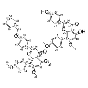 COc1ccc(-c2c(OC)cc(O)c3c(=O)cc(-c4ccc(O)cc4)oc23)cc1.COc1ccc(-c2c(OC)cc(OC)c3c(=O)cc(-c4ccc(OCc5ccccc5)cc4)oc23)cc1